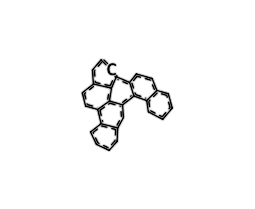 c1ccc2c(c1)cc1c3c4ccccc4ccc3c3cccc4ccc2c1c43